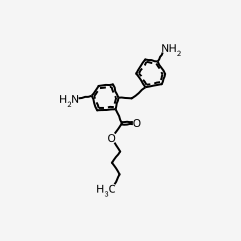 CCCCOC(=O)c1cc(N)ccc1Cc1ccc(N)cc1